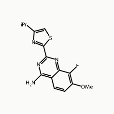 COc1ccc2c(N)nc(-c3nc(C(C)C)cs3)nc2c1F